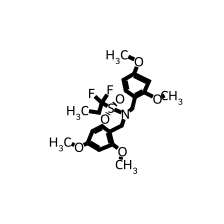 CCC(F)(F)S(=O)(=O)N(Cc1ccc(OC)cc1OC)Cc1ccc(OC)cc1OC